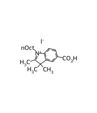 CCCCCCCC[N+]1=C(C)C(C)(C)c2cc(C(=O)O)ccc21.[I-]